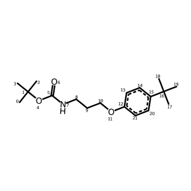 CC(C)(C)OC(=O)NCCCOc1ccc(C(C)(C)C)cc1